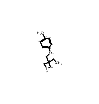 CCC1(COc2ccc(C)cc2)COC1